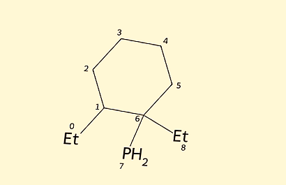 CCC1CCCCC1(P)CC